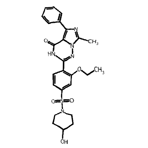 CCOc1cc(S(=O)(=O)N2CCC(O)CC2)ccc1-c1nn2c(C)nc(-c3ccccc3)c2c(=O)[nH]1